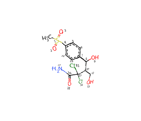 CS(=O)(=O)c1ccc(C(O)C(CO)C(Cl)(Cl)C(N)=O)cc1